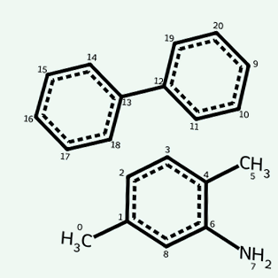 Cc1ccc(C)c(N)c1.c1ccc(-c2ccccc2)cc1